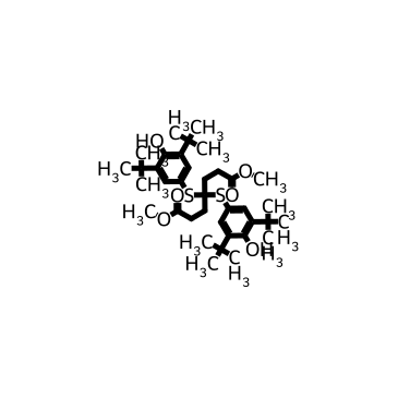 COC(=O)CCC(CCC(=O)OC)(Sc1cc(C(C)(C)C)c(O)c(C(C)(C)C)c1)Sc1cc(C(C)(C)C)c(O)c(C(C)(C)C)c1